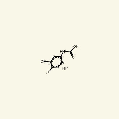 F.O=C(O)Nc1ccc(F)c(Cl)c1